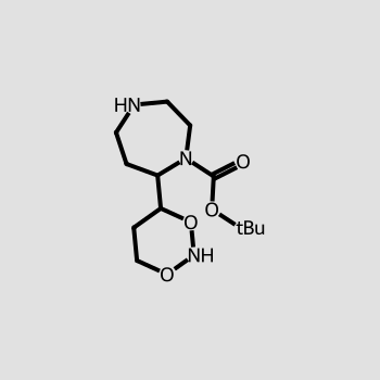 CC(C)(C)OC(=O)N1CCNCCC1C1CCONO1